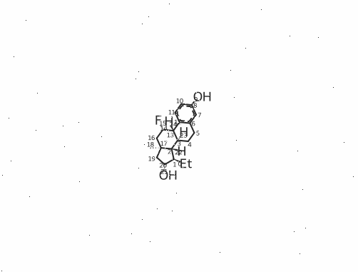 CC[C@@H]1[C@H]2[C@@H]3CCc4cc(O)ccc4[C@H]3[C@@H](F)C[C@]2(C)C[C@H]1O